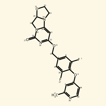 Cc1cc(Oc2c(F)cc(COc3cc4n(c(=O)n3)CC3OCCN43)cc2F)ccn1